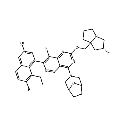 CCc1c(F)ccc2cc(O)cc(-c3ncc4c(N5CC6CCC(C5)O6)nc(OCC56CCCN5C[C@H](F)C6)nc4c3F)c12